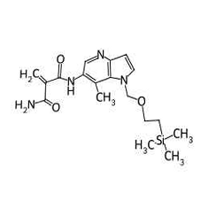 C=C(C(N)=O)C(=O)Nc1cnc2ccn(COCC[Si](C)(C)C)c2c1C